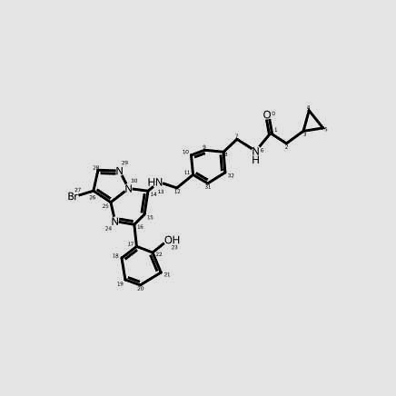 O=C(CC1CC1)NCc1ccc(CNc2cc(-c3ccccc3O)nc3c(Br)cnn23)cc1